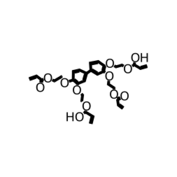 C=CC(=O)OCCOc1cc(-c2ccc(OCCOC(=O)C=C)c(OCCOC(O)C=C)c2)ccc1OCCOC(O)C=C